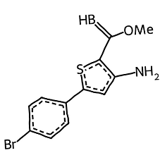 B=C(OC)c1sc(-c2ccc(Br)cc2)cc1N